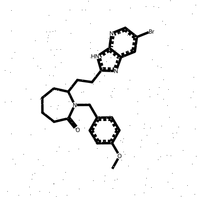 COc1ccc(CN2C(=O)CCCCC2CCc2nc3cc(Br)cnc3[nH]2)cc1